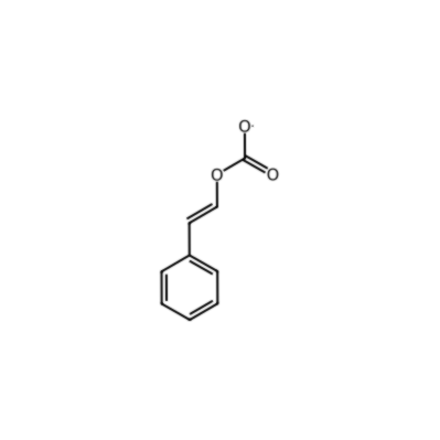 [O]C(=O)OC=Cc1ccccc1